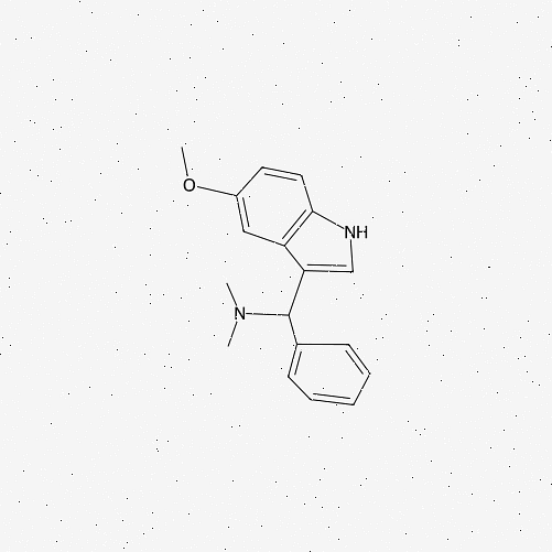 COc1ccc2[nH]cc(C(c3ccccc3)N(C)C)c2c1